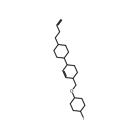 C=CCCC1CCC(C2C=CC(COC3CCC(I)CC3)CC2)CC1